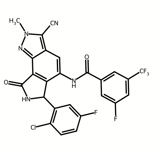 Cn1nc2c3c(c(NC(=O)c4cc(F)cc(C(F)(F)F)c4)cc2c1C#N)C(c1cc(F)ccc1Cl)NC3=O